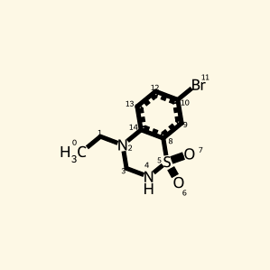 CCN1CNS(=O)(=O)c2cc(Br)ccc21